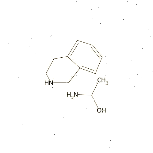 CC(N)O.c1ccc2c(c1)CCNC2